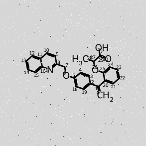 C=C(c1ccc(OCc2ccc3ccccc3n2)cc1)c1ccccc1OC(C)C(=O)O